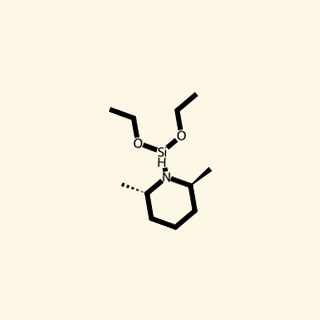 CCO[SiH](OCC)N1[C@@H](C)CCC[C@@H]1C